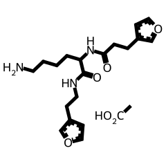 CC(=O)O.NCCCCC(NC(=O)CCc1ccoc1)C(=O)NCCc1ccoc1